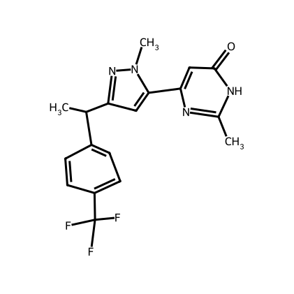 Cc1nc(-c2cc(C(C)c3ccc(C(F)(F)F)cc3)nn2C)cc(=O)[nH]1